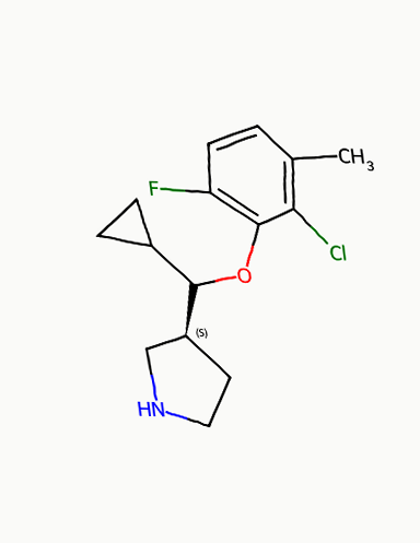 Cc1ccc(F)c(OC(C2CC2)[C@H]2CCNC2)c1Cl